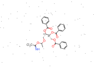 CC(OC[C@H](OC(=O)c1ccccc1)[C@@H](COC(=O)c1ccccc1)OC(=O)c1ccccc1)OC(=N)C(Cl)(Cl)Cl